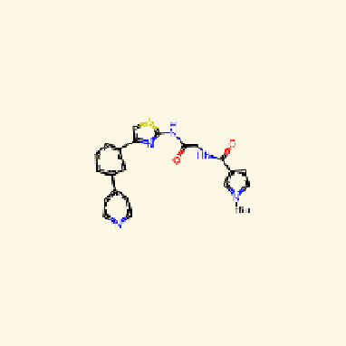 CC(C)(C)n1ccc(C(=O)NCC(=O)Nc2nc(-c3cccc(-c4ccncc4)c3)cs2)c1